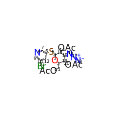 CC(=O)OCC1O[C@H](Sc2cncc(Br)c2)C(OC(C)=O)C(N=[N+]=[N-])[C@H]1OC(C)=O